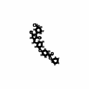 O=C(Oc1ccccc1)c1ccc(Oc2cccc(/C=C3/CC(=O)N(c4cccc(Cl)c4)C3=O)c2)cc1